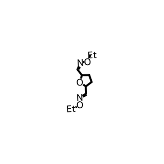 CCON=CC1CCC(/C=N\OCC)O1